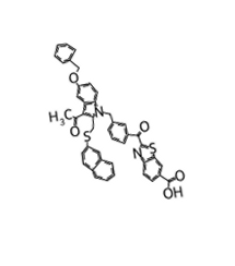 CC(=O)c1c(CSc2ccc3ccccc3c2)n(Cc2cccc(C(=O)c3nc4ccc(C(=O)O)cc4s3)c2)c2ccc(OCc3ccccc3)cc12